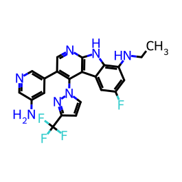 CCNc1cc(F)cc2c1[nH]c1ncc(-c3cncc(N)c3)c(-n3ccc(C(F)(F)F)n3)c12